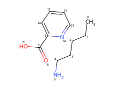 CCCCCN.O=C(O)c1ccccn1